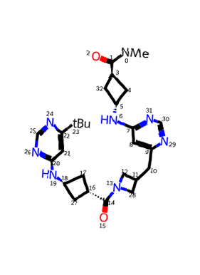 CNC(=O)[C@H]1C[C@H](Nc2cc(CC3CN(C(=O)[C@H]4C[C@H](Nc5cc(C(C)(C)C)ncn5)C4)C3)ncn2)C1